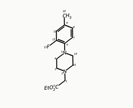 CCOC(=O)CN1CCN(c2ccc(C)cc2F)CC1